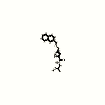 COC(C)CNC(=O)c1cc(COCc2ccc3ccccc3c2)on1